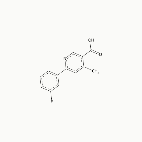 Cc1cc(-c2cccc(F)c2)ncc1C(=O)O